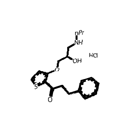 CCCNCC(O)COc1ccsc1C(=O)CCc1ccccc1.Cl